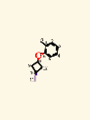 Cc1ccccc1OC1CC(I)C1